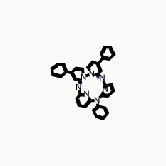 C1=CN2/C(=N\c3cccc(n3)N(c3ccccc3)c3cccc(n3)/N=C3/C=C(c4ccccc4)C=CN32)C=C1c1ccccc1